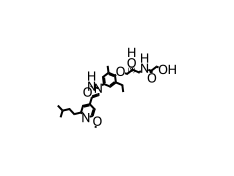 CCc1cc(N2C=C(c3cc(CCC(C)C)nc(OC)c3)ON2)cc(C)c1OC[C@@H](O)CNC(=O)CO